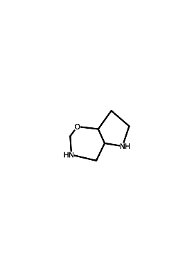 C1CC2OCNCC2N1